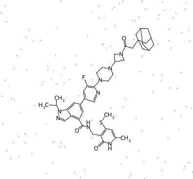 CSc1cc(C)[nH]c(=O)c1CNC(=O)c1cc(-c2cnc(N3CCN(C4CN(C(=O)CC56CC7CC(CC(C7)C5)C6)C4)CC3)c(F)c2)cc2c1cnn2C(C)C